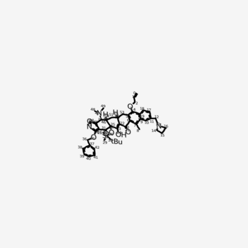 C=CCOc1c2c(c(C)c3cc(CN4CCC4)ccc13)C(=O)C1=C(O)[C@]3(O[Si](C)(C)C(C)(C)C)C(=O)c4c(OCc5ccccc5)noc4[C@@H](N(C)C)[C@@H]3C[C@@H]1C2